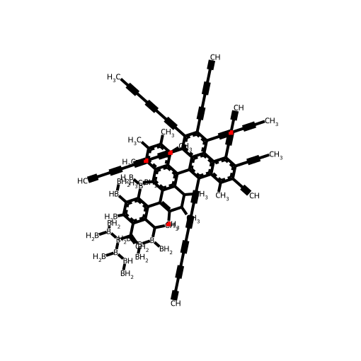 BBB(B)B(B(B)B)C(=C)c1c(B)c(BB)c(B(B)B)c(C2=C(C)C(C)C(C)c3c2c(C)c2c(C)c(C)c(C)c(C)c2c3-c2c(C#CC#CC#CC#CC#C)c3c(C)c(C#C)c(C#CC)c(C#CC#C)c3c3c(C#CC#CC)c(C#CC#CC#C)c(C#CC#CC#CC)c(C#CC#CC#CC#C)c23)c1C(C)B(B)B(B)B